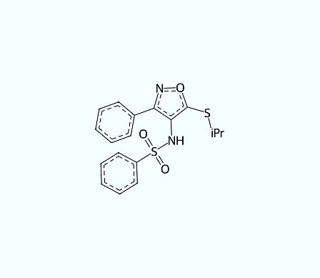 CC(C)Sc1onc(-c2ccccc2)c1NS(=O)(=O)c1ccccc1